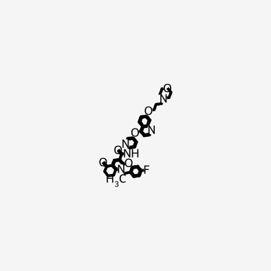 C[C@H](c1ccc(F)cc1)n1c2c(cc(C(=O)Nc3ccc(Oc4ccnc5cc(OCCCN6CCOCC6)ccc45)cn3)c1=O)C(=O)CCC2